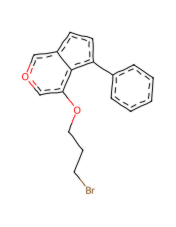 BrCCCOc1cocc2ccc(-c3ccccc3)c1-2